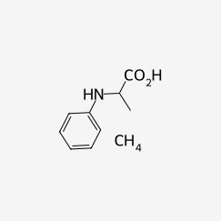 C.CC(Nc1ccccc1)C(=O)O